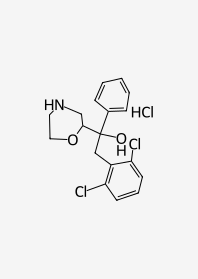 Cl.OC(Cc1c(Cl)cccc1Cl)(c1ccccc1)C1CNCCO1